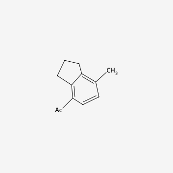 CC(=O)c1ccc(C)c2c1CCC2